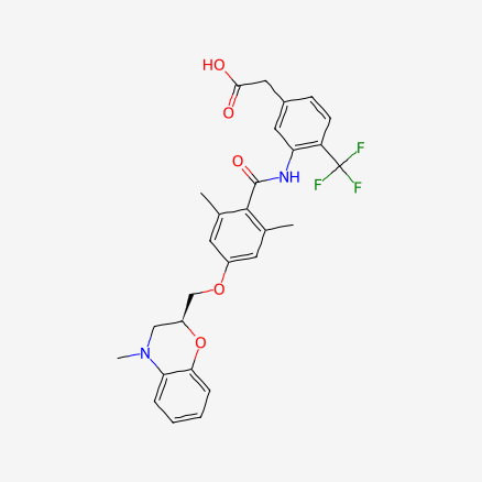 Cc1cc(OC[C@@H]2CN(C)c3ccccc3O2)cc(C)c1C(=O)Nc1cc(CC(=O)O)ccc1C(F)(F)F